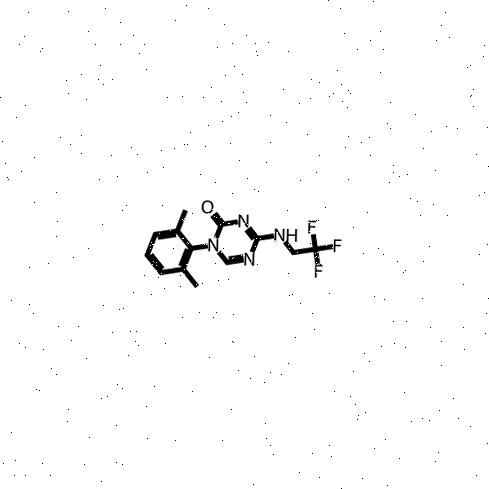 Cc1cccc(C)c1-n1cnc(NCC(F)(F)F)nc1=O